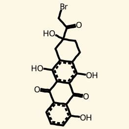 O=C1c2cccc(O)c2C(=O)c2c(O)c3c(c(O)c21)CC(O)(C(=O)CBr)CC3